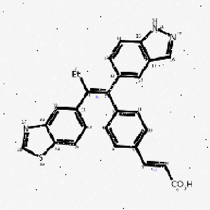 CC/C(=C(/c1ccc(/C=C/C(=O)O)cc1)c1ccc2[nH]ncc2c1)c1ccc2scnc2c1